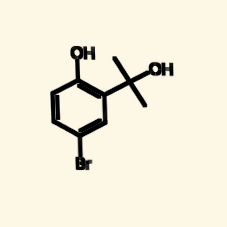 CC(C)(O)c1cc(Br)ccc1O